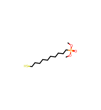 COP(=O)(CCCCCCCCCCS)OC